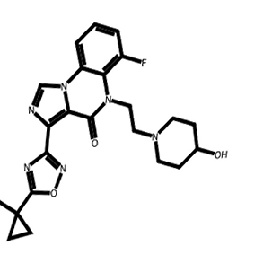 CC1(c2nc(-c3ncn4c3c(=O)n(CCN3CCC(O)CC3)c3c(F)cccc34)no2)CC1